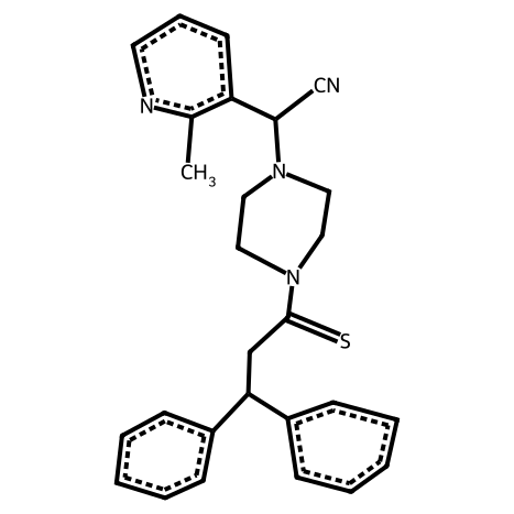 Cc1ncccc1C(C#N)N1CCN(C(=S)CC(c2ccccc2)c2ccccc2)CC1